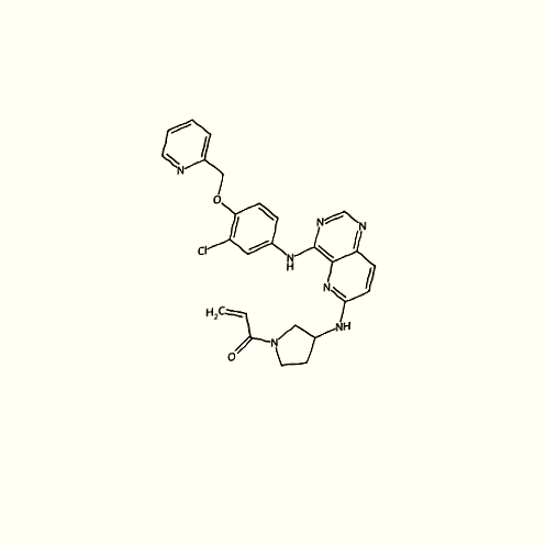 C=CC(=O)N1CCC(Nc2ccc3ncnc(Nc4ccc(OCc5ccccn5)c(Cl)c4)c3n2)C1